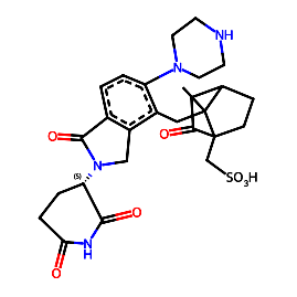 CC1(Cc2c(N3CCNCC3)ccc3c2CN([C@H]2CCC(=O)NC2=O)C3=O)C2CCC1(CS(=O)(=O)O)C(=O)C2